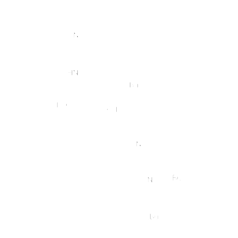 CC(C)(C)C1c2cccnc2NC1C(C)(C)Cc1cnc2c(c1)CC(C(C)(C)C)N2C(C)(C)C